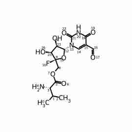 CC(C)[C@H](N)C(=O)OC[C@@]1(F)O[C@@H](n2cc(C=O)c(=O)[nH]c2=O)[C@H](O)[C@@H]1O